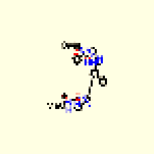 COC(=O)NC(C(=O)N1CCC[C@H]1c1ncc(-c2ccc(C#CC#Cc3cnc(C4CCCN4C(=O)[C@@H](NC(=O)OC)C(C)C)[nH]3)c(-c3ccccc3)c2)[nH]1)c1ccccc1